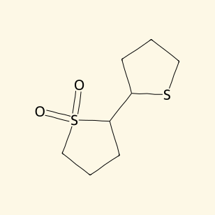 O=S1(=O)CCCC1C1CCCS1